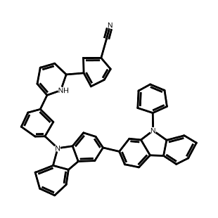 N#Cc1cccc(C2C=CC=C(c3cccc(-n4c5ccccc5c5cc(-c6ccc7c8ccccc8n(-c8ccccc8)c7c6)ccc54)c3)N2)c1